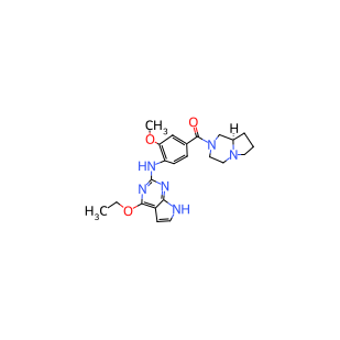 CCOc1nc(Nc2ccc(C(=O)N3CCN4CCC[C@@H]4C3)cc2OC)nc2[nH]ccc12